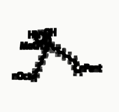 CCCCC/C=C\C/C=C\CCCCCCCCC1(CCCCCCCC/C=C\CCCCCCCC)O[C@@H]2[C@H](O1)[C@@H](OC)CNC[C@H]2O